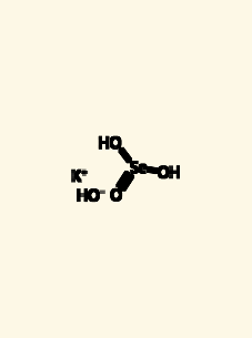 O=[Se](O)O.[K+].[OH-]